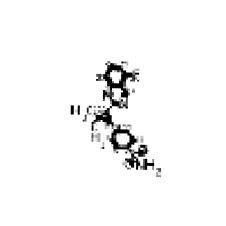 CC1(C)[C@@H](c2ccc(S(N)(=O)=O)cc2)[C@@H]1c1ncc2c(F)cccc2n1